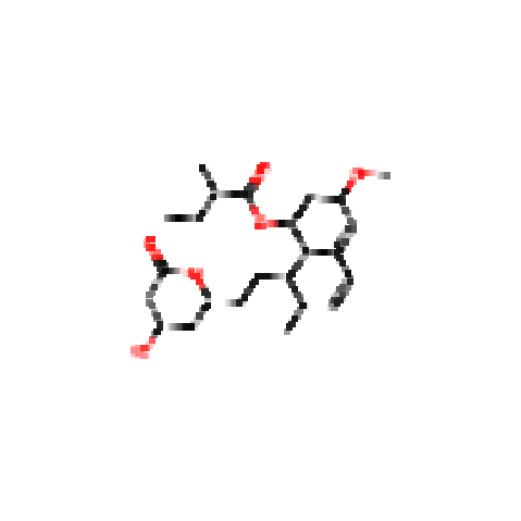 CCC(C)C(=O)OC1CC(OC)C=C2C=CC(C)C(CCC3CC(O)CC(=O)O3)C21